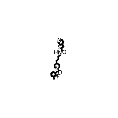 Cc1cccc(C(=O)N2CCC(CCCCNC(=O)c3cc4ccncc4s3)CC2)c1F